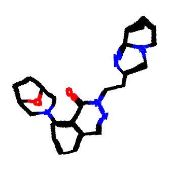 O=c1c2c(N3CC4CCC(C3)O4)cccc2cnn1CCc1cn2ccccc2n1